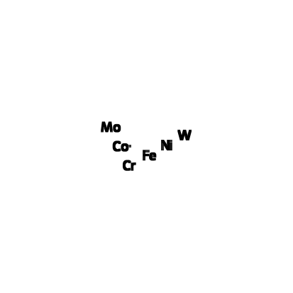 [Co].[Cr].[Fe].[Mo].[Ni].[W]